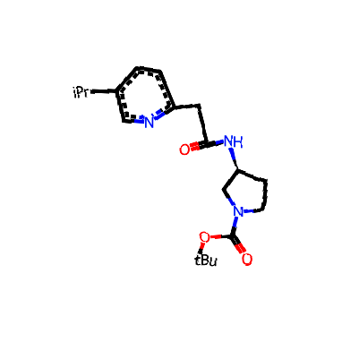 CC(C)c1ccc(CC(=O)N[C@H]2CCN(C(=O)OC(C)(C)C)C2)nc1